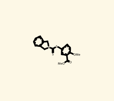 COC(=O)c1cc(SC(=S)N2Cc3ccccc3C2)ccc1OC